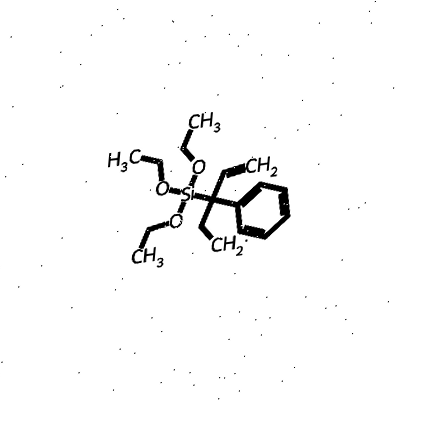 [CH2]CC(C=C)(c1ccccc1)[Si](OCC)(OCC)OCC